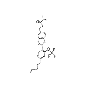 C=C(C)C(=O)OCc1ccc2cc(-c3ccc(CCCCC)cc3OC(F)(F)F)sc2c1